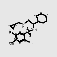 O=S(=O)(NC(CNCC1CC1)C1CCCCC1)c1cc(Br)c(Cl)cc1F